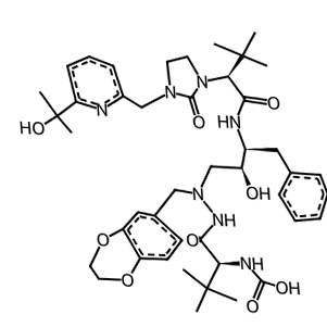 CC(C)(O)c1cccc(CN2CCN([C@H](C(=O)N[C@@H](Cc3ccccc3)[C@@H](O)CN(Cc3ccc4c(c3)OCCO4)NC(=O)[C@@H](NC(=O)O)C(C)(C)C)C(C)(C)C)C2=O)n1